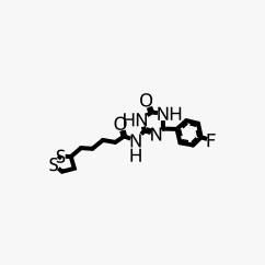 O=C(CCCCC1CCSS1)NC1=NC(c2ccc(F)cc2)NC(=O)N1